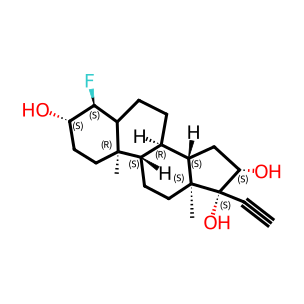 C#C[C@]1(O)[C@@H](O)C[C@H]2[C@@H]3CCC4[C@H](F)[C@@H](O)CC[C@]4(C)[C@H]3CC[C@@]21C